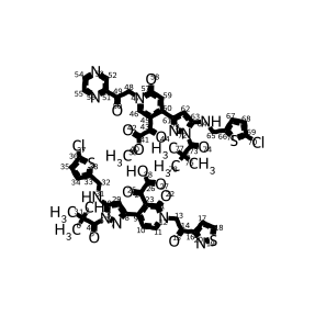 CC(C)(C)C(=O)n1nc(-c2ccn(CC(=O)c3ccsn3)c(=O)c2C(=O)C(=O)O)cc1NCc1ccc(Cl)s1.COC(=O)C(=O)c1cn(CC(=O)c2cnccn2)c(=O)cc1-c1cc(NCc2ccc(Cl)s2)n(C(=O)C(C)(C)C)n1